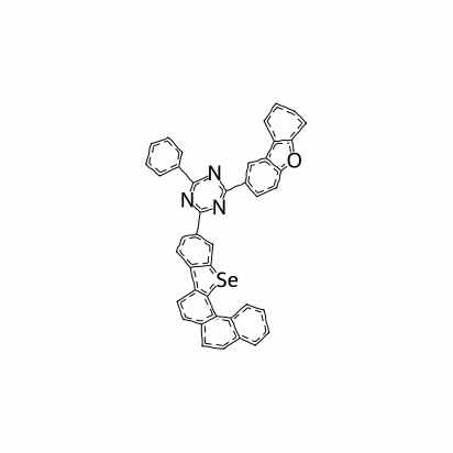 c1ccc(-c2nc(-c3ccc4c(c3)[se]c3c4ccc4ccc5ccccc5c43)nc(-c3ccc4oc5ccccc5c4c3)n2)cc1